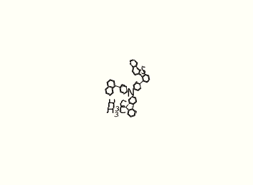 CC1(C)c2ccccc2-c2ccc(N(c3ccc(-c4cccc5ccccc45)cc3)c3ccc(-c4cccc5sc6c7ccccc7ccc6c45)cc3)cc21